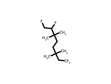 CC(C)(CCC(C)(C)C(F)CF)CC(F)(F)F